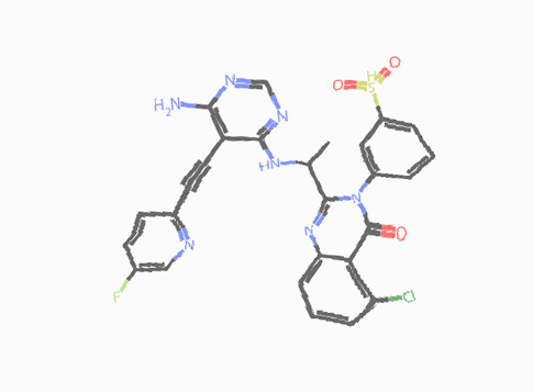 CC(Nc1ncnc(N)c1C#Cc1ccc(F)cn1)c1nc2cccc(Cl)c2c(=O)n1-c1cccc([SH](=O)=O)c1